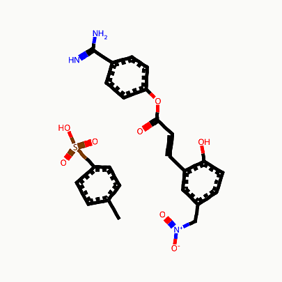 Cc1ccc(S(=O)(=O)O)cc1.N=C(N)c1ccc(OC(=O)/C=C/c2cc(C[N+](=O)[O-])ccc2O)cc1